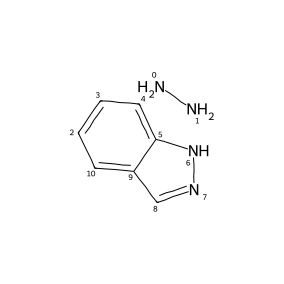 NN.c1ccc2[nH]ncc2c1